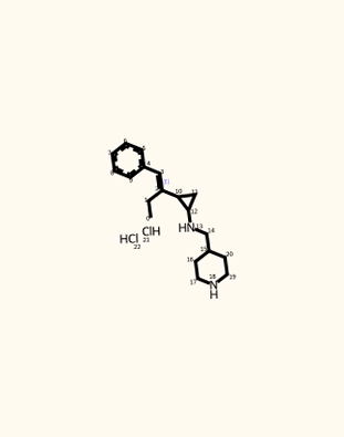 CC/C(=C\c1ccccc1)C1CC1NCC1CCNCC1.Cl.Cl